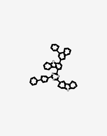 c1ccc(-c2ccc(-c3nc(-c4ccc5oc6ccccc6c5c4)nc(-c4ccc(-c5cc(-c6ccccc6)c6ccccc6c5)c5oc6ccccc6c45)n3)cc2)cc1